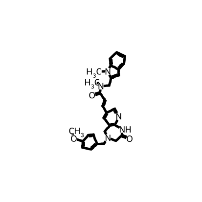 COc1ccc(CN2CC(=O)Nc3ncc(/C=C/C(=O)N(C)Cc4cc5ccccc5n4C)cc3C2)cc1